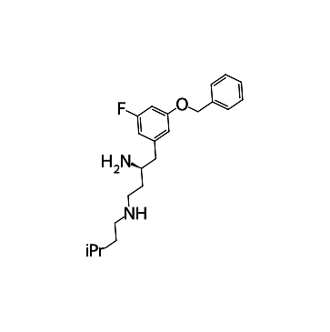 CC(C)CCNCC[C@@H](N)Cc1cc(F)cc(OCc2ccccc2)c1